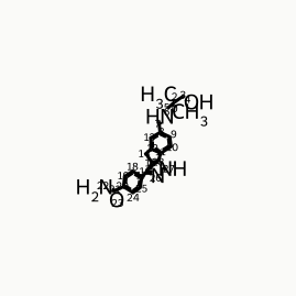 CC(C)(CO)CNCc1ccc2c(c1)Cc1c(-c3ccc(C(N)=O)cc3)n[nH]c1-2